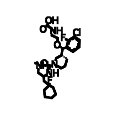 CNCC(CC1(F)CCCCC1)NC(=O)N1CCC[C@@H]([C@@H](OCCNC(=O)O)c2cccc(Cl)c2F)C1